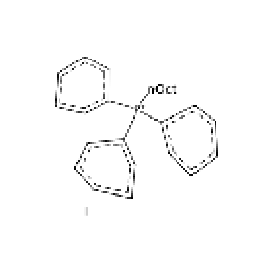 CCCCCCCC[P+](c1ccccc1)(c1ccccc1)c1ccccc1.[I-]